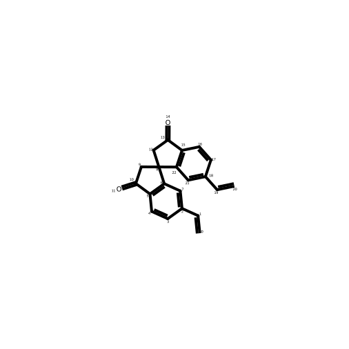 C=Cc1ccc2c(c1)C1(CC2=O)CC(=O)c2ccc(C=C)cc21